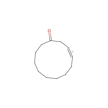 O=C1C/C=C\CCCCCCCC1